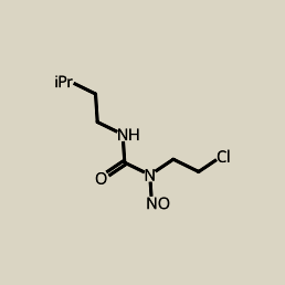 CC(C)CCNC(=O)N(CCCl)N=O